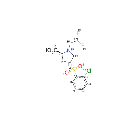 O=C(O)[C@@H]1C[C@@H](S(=O)(=O)c2ccccc2Cl)CN1CC(F)F